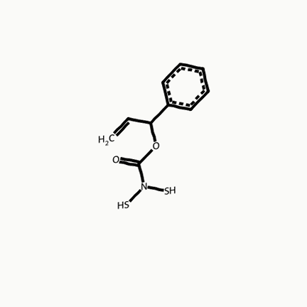 C=CC(OC(=O)N(S)S)c1ccccc1